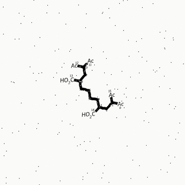 CC(=O)C(CC(CCCCC(CC(C(C)=O)C(C)=O)C(=O)O)C(=O)O)C(C)=O